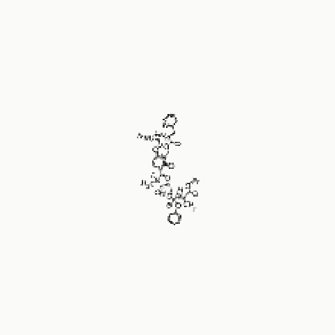 COC(=O)N[C@@H](Cc1ccccn1)C(=O)OCn1c(=O)ccn([C@@H]2O[C@H](COP(=O)(N[C@@H](C)C(=O)OC(C)C)Oc3ccccc3)[C@@H](O)[C@@]2(C)F)c1=O